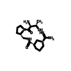 C[C@H](O)[C@H](N)C(=O)N1CCC[C@H]1CNC(=O)[C@H]1CCCN(C(=N)N)C1